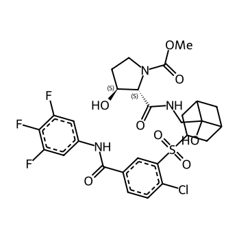 COC(=O)N1CC[C@H](O)[C@H]1C(=O)NCC1(O)C2CC1CC(S(=O)(=O)c1cc(C(=O)Nc3cc(F)c(F)c(F)c3)ccc1Cl)C2